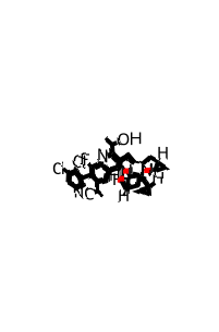 CC(O)c1nc2c(F)c(-c3cccc(Cl)c3Cl)c(C(C)C#N)cc2c2c1cc([C@H]1C[C@H]3C[C@H]3N1C(=O)C1(C)CC1)n2[C@H]1[C@H]2CN[C@@H]1C2